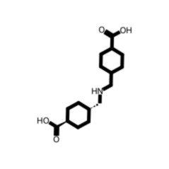 O=C(O)C1CCC(CNC[C@H]2CC[C@H](C(=O)O)CC2)CC1